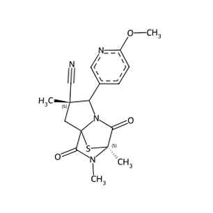 COc1ccc(C2N3C(=O)[C@]4(C)SC3(C[C@]2(C)C#N)C(=O)N4C)cn1